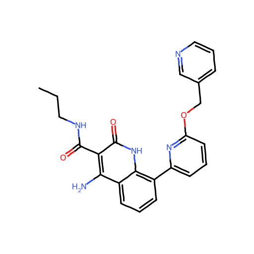 CCCNC(=O)c1c(N)c2cccc(-c3cccc(OCc4cccnc4)n3)c2[nH]c1=O